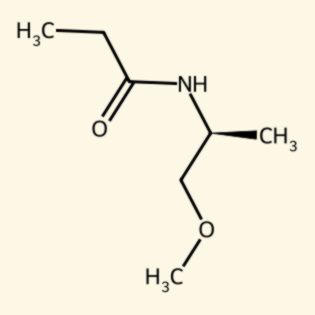 CCC(=O)N[C@@H](C)COC